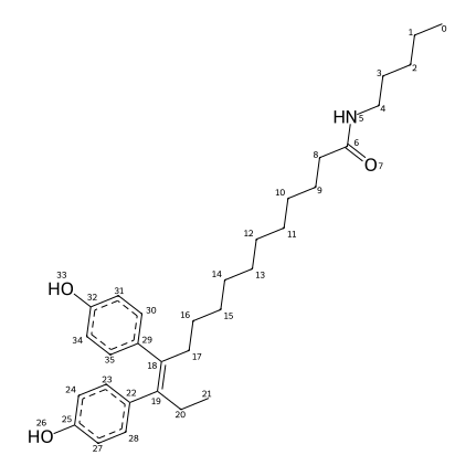 CCCCCNC(=O)CCCCCCCCCCC(=C(CC)c1ccc(O)cc1)c1ccc(O)cc1